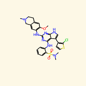 COc1cc2c(cc1Nc1nc(Nc3ccccc3S(=O)(=O)N(C)C)c3c(-c4ccsc4Cl)c[nH]c3n1)CN(C)CC2